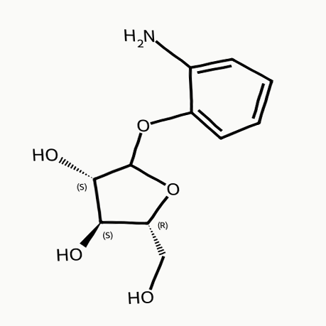 Nc1ccccc1OC1O[C@H](CO)[C@@H](O)[C@@H]1O